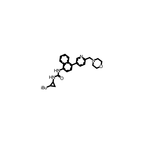 CCC(C)C1CC1NC(=O)Nc1ccc(-c2ccc(CN3CCOCC3)nc2)c2ccccc12